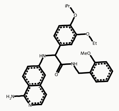 CCOc1cc(C(Nc2ccc3c(N)nccc3c2)C(=O)NCc2ccccc2OC)ccc1OC(C)C